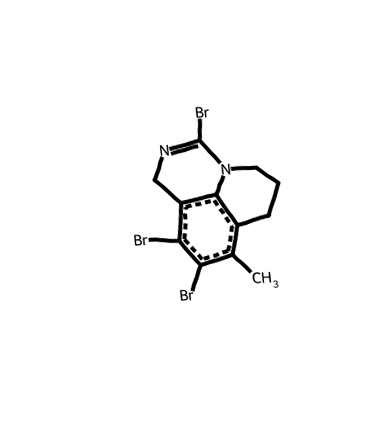 Cc1c(Br)c(Br)c2c3c1CCCN3C(Br)=NC2